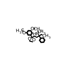 CCC(CCC1(c2cc(OC)cc(OC)c2)OCCO1)(NC)c1ccccc1